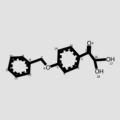 O=C(c1ccc(OCc2ccccc2)cc1)C(O)O